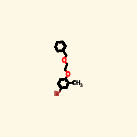 Cc1cc(Br)ccc1OCCOCc1ccccc1